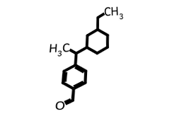 CCC1CCCC(C(C)c2ccc(C=O)cc2)C1